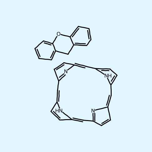 C1=Cc2cc3ccc(cc4nc(cc5ccc(cc1n2)[nH]5)C=C4)[nH]3.c1ccc2c(c1)Cc1ccccc1O2